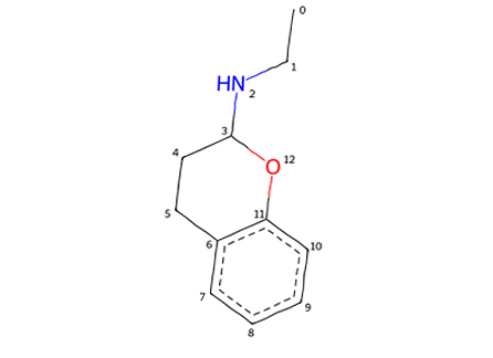 CCNC1CCc2ccccc2O1